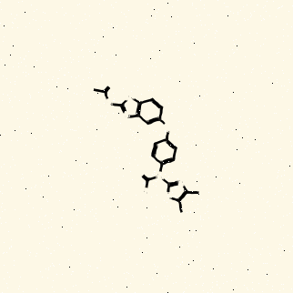 CC(=O)Nc1nc2cc(Oc3ccc(N(C(N)=O)c4nc(C)c(C)s4)cc3)ccc2[nH]1